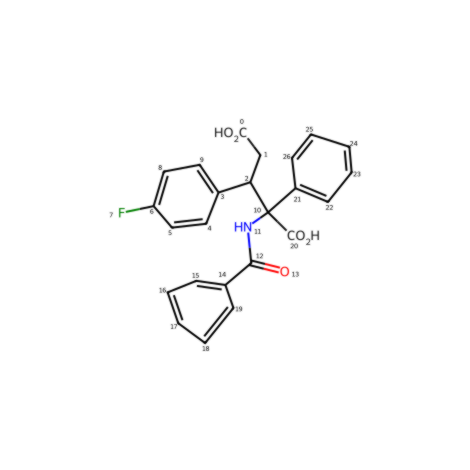 O=C(O)CC(c1ccc(F)cc1)C(NC(=O)c1ccccc1)(C(=O)O)c1ccccc1